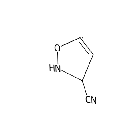 N#CC1C=[C]ON1